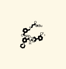 CC(C)(C)OC(=O)CCSCc1cccc(C(=O)Nc2ccc(N3CCCCC3)cc2C(=O)Nc2ncc(-c3cccc(C(F)(F)F)c3)cn2)c1